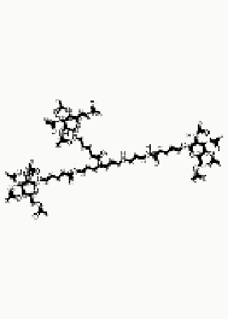 CC(=O)NC1C(OC(C)=O)[C@@H](OC(C)=O)C(COC(C)=O)O[C@H]1OCCCCC(=O)NCCCNCCCN(CCCNC(=O)CCCCO[C@@H]1OC(COC(C)=O)[C@H](OC(C)=O)C(OC(C)=O)[C@H]1NC(C)=O)C(=O)CCCCO[C@@H]1OC(COC(C)=O)[C@H](OC(C)=O)C(OC(C)=O)C1NC(C)=O